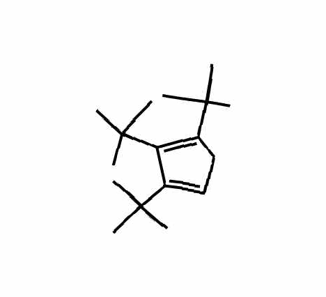 CC(C)(C)C1=CCC(C(C)(C)C)=C1C(C)(C)C